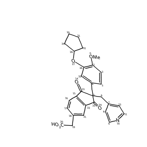 COc1ccc(C2(Cc3ccncc3)C(=O)c3ccc(CC(=O)O)cc3C2=O)cc1OC1CCCC1